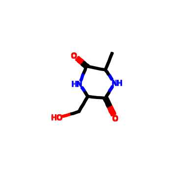 CC1NC(=O)C(CO)NC1=O